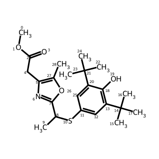 COC(=O)Cc1nc(C(C)Sc2cc(C(C)(C)C)c(O)c(C(C)(C)C)c2)oc1C